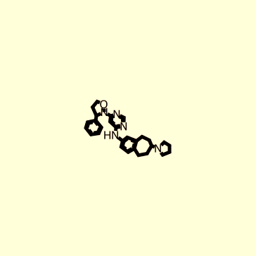 c1ccc(C2CCON2c2cc(Nc3ccc4c(c3)CCC(N3CCCC3)CC4)ncn2)cc1